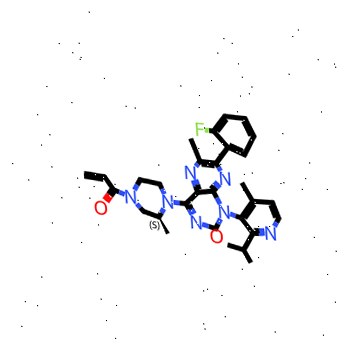 C=CC(=O)N1CCN(c2nc(=O)n(-c3c(C)ccnc3C(C)C)c3nc(-c4ccccc4F)c(C)nc23)[C@@H](C)C1